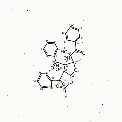 CC(=O)O[C@H]1O[C@](C)(C(O)C(=O)c2ccccc2)[C@](O)(C(=O)c2ccccc2)[C@]1(O)C(=O)c1ccccc1